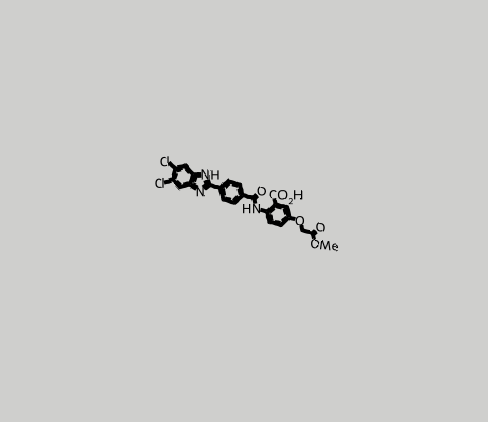 COC(=O)COc1ccc(NC(=O)c2ccc(-c3nc4cc(Cl)c(Cl)cc4[nH]3)cc2)c(C(=O)O)c1